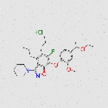 CCCc1c(F)c(Oc2ccc(C(C)OCC)cc2OC)c2onc(N3CCCCC3)c2c1CCC.Cl